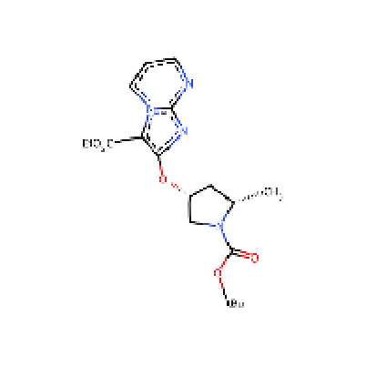 CCOC(=O)c1c(O[C@@H]2C[C@H](C)N(C(=O)OC(C)(C)C)C2)nc2ncccn12